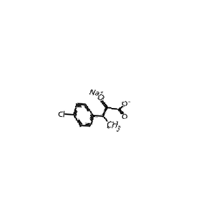 CC(C(=O)C(=O)[O-])c1ccc(Cl)cc1.[Na+]